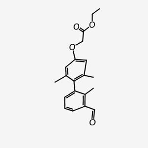 CCOC(=O)COc1cc(C)c(-c2cccc(C=O)c2C)c(C)c1